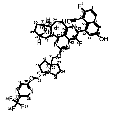 C#Cc1c(F)ccc2cc(O)cc(-c3nc4c5c(nc(OC[C@@]67CCCN6[C@H](COc6cnc(C(F)(F)F)cn6)CC7)nc5c3F)N3C[C@H]5CC[C@H](N5)[C@H]3CC4)c12